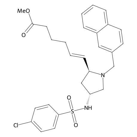 COC(=O)CCCC=C[C@@H]1C[C@@H](NS(=O)(=O)c2ccc(Cl)cc2)CN1Cc1ccc2ccccc2c1